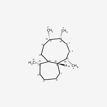 C[C@@H]1SS[C@H](C)[C@@H]2CCCC[C@H](C)C2CC[C@@H]1C